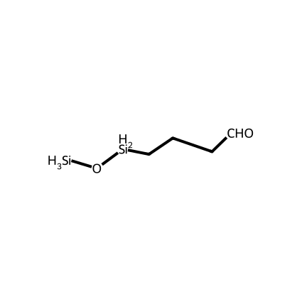 O=CCCC[SiH2]O[SiH3]